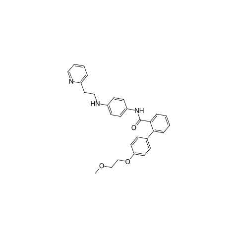 COCCOc1ccc(-c2ccccc2C(=O)Nc2ccc(NCCc3ccccn3)cc2)cc1